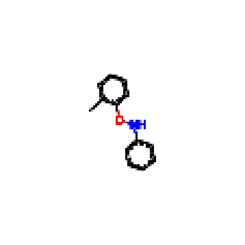 Cc1ccccc1ONc1ccccc1